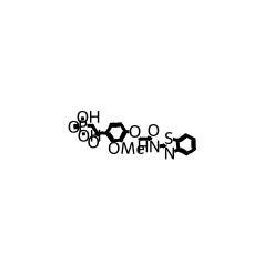 COc1cc(C(=O)CP(=O)(O)O)ccc1OCC(=O)Nc1nc2ccccc2s1